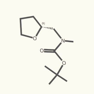 CN(C[C@H]1CCCO1)C(=O)OC(C)(C)C